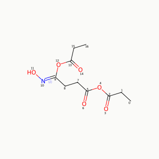 CCC(=O)OC(=O)CC/C(=N/O)OC(=O)CC